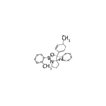 Cc1ccccc1B1OC(C2=CCC(C)C=C2)(c2ccccc2)[C@@H]2CCCN12